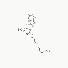 CCCCCCCC/C=C\CCCCCCCC(=O)NC(Cc1c[nH]c2ccccc12)C(=O)OCC